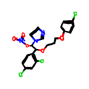 O=[N+]([O-])OC([C](OCCCOc1ccc(Cl)cc1)c1ccc(Cl)cc1Cl)n1ccnc1